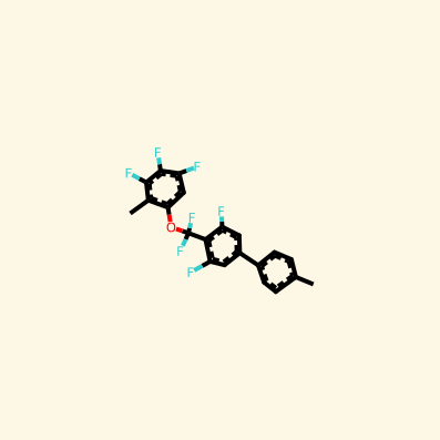 Cc1ccc(-c2cc(F)c(C(F)(F)Oc3cc(F)c(F)c(F)c3C)c(F)c2)cc1